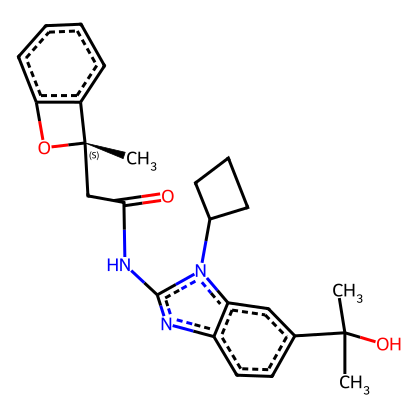 CC(C)(O)c1ccc2nc(NC(=O)C[C@]3(C)Oc4ccccc43)n(C3CCC3)c2c1